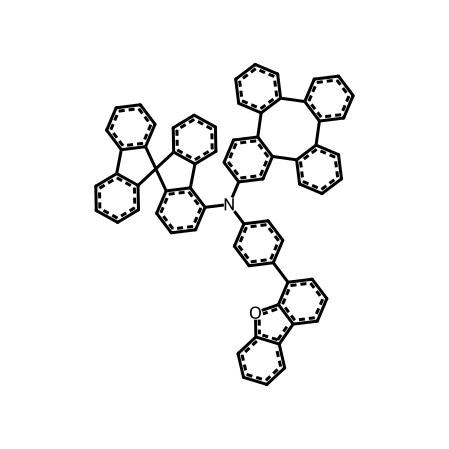 c1ccc2c(c1)-c1ccccc1-c1ccc(N(c3ccc(-c4cccc5c4oc4ccccc45)cc3)c3cccc4c3-c3ccccc3C43c4ccccc4-c4ccccc43)cc1-c1ccccc1-2